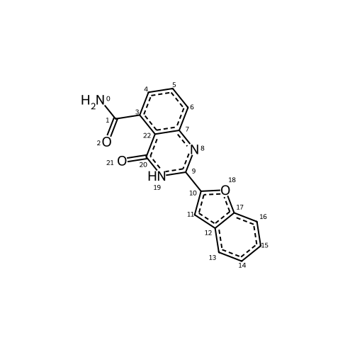 NC(=O)c1cccc2nc(-c3cc4ccccc4o3)[nH]c(=O)c12